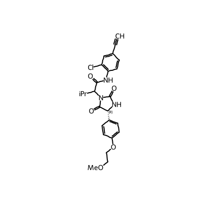 C#Cc1ccc(NC(=O)C(C(C)C)N2C(=O)N[C@H](c3ccc(OCCOC)cc3)C2=O)c(Cl)c1